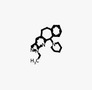 CCn1ncc2cc3c(nc21)C(N1CCCCC1)c1ccccc1CC3